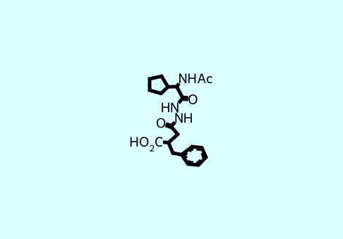 CC(=O)NC(C(=O)NNC(=O)CC(Cc1ccccc1)C(=O)O)C1CCCC1